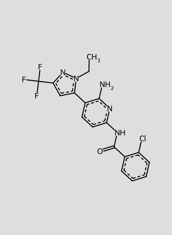 CCn1nc(C(F)(F)F)cc1-c1ccc(NC(=O)c2ccccc2Cl)nc1N